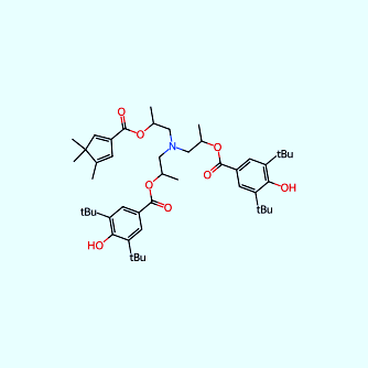 CC1=CC(C(=O)OC(C)CN(CC(C)OC(=O)c2cc(C(C)(C)C)c(O)c(C(C)(C)C)c2)CC(C)OC(=O)c2cc(C(C)(C)C)c(O)c(C(C)(C)C)c2)=CC1(C)C